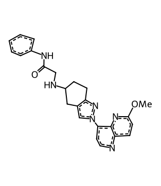 COc1ccc2nccc(-n3cc4c(n3)CCC(NCC(=O)Nc3ccccc3)C4)c2n1